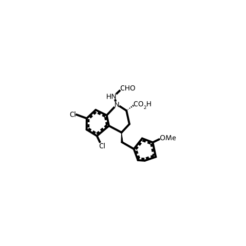 COc1cccc(C[C@@H]2C[C@@H](C(=O)O)N(NC=O)c3cc(Cl)cc(Cl)c32)c1